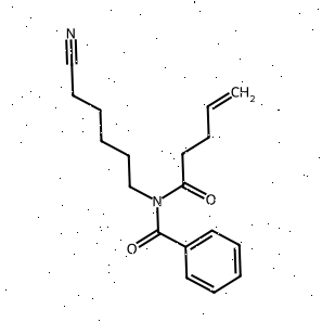 C=CCCC(=O)N(CCCCCC#N)C(=O)c1ccccc1